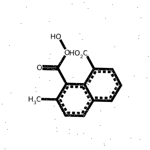 Cc1ccc2cccc(C(=O)O)c2c1C(=O)OO